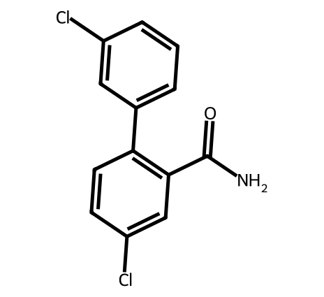 NC(=O)c1cc(Cl)ccc1-c1cccc(Cl)c1